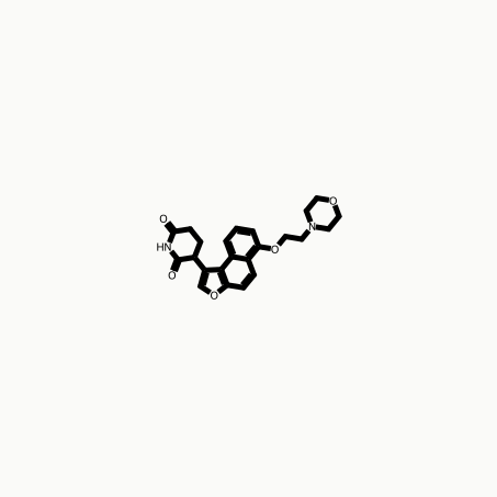 O=C1CCC(c2coc3ccc4c(OCCN5CCOCC5)cccc4c23)C(=O)N1